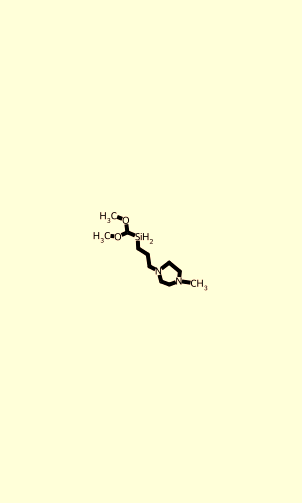 COC(OC)[SiH2]CCCN1CCN(C)CC1